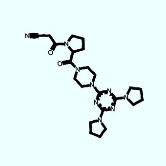 N#CCC(=O)N1CCCC1C(=O)N1CCN(c2nc(N3CCCC3)nc(N3CCCC3)n2)CC1